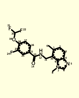 Cc1ccc2ncn(C)c2c1CNC(=O)c1ccc(OC(F)F)c(F)c1